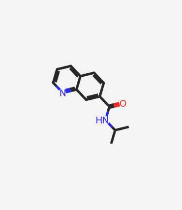 CC(C)NC(=O)c1ccc2cccnc2c1